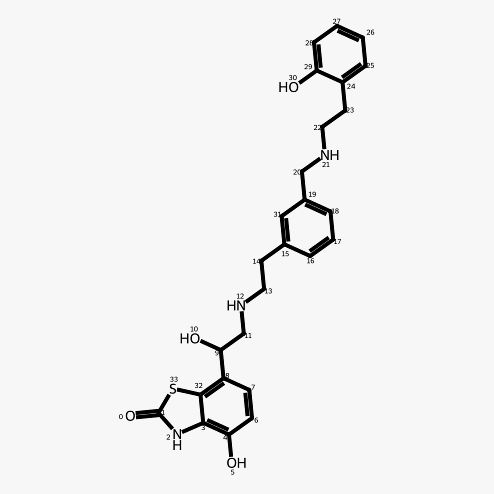 O=c1[nH]c2c(O)ccc(C(O)CNCCc3cccc(CNCCc4ccccc4O)c3)c2s1